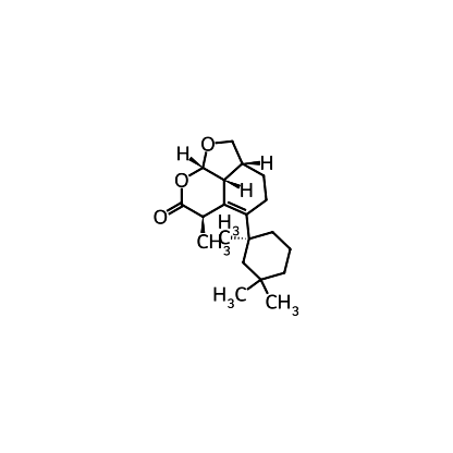 C[C@H]1C(=O)O[C@@H]2OC[C@@H]3CCC([C@@]4(C)CCCC(C)(C)C4)=C1[C@@H]32